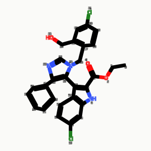 CCOC(=O)c1[nH]c2cc(Cl)ccc2c1-c1c(-c2ccccc2)ncn1Cc1ccc(Cl)cc1CO